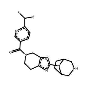 O=C(c1ccc(C(F)F)nc1)N1CCc2nc(N3C4CCC3CNC4)sc2C1